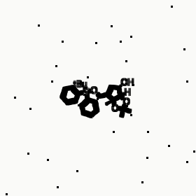 CC1(C)O[C@H]2[C@@H](O)C=C(CO[Si](c3ccccc3)(c3ccccc3)C(C)(C)C)[C@@]2(C)O1